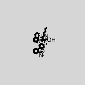 CCCCc1nc(O)c(Sc2ccc(-c3ccccc3C(=O)N(C)C)cc2)c(O)c1N1CCCc2ccccc21